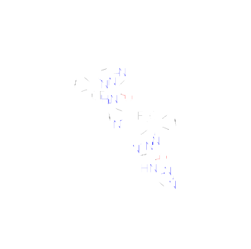 Cc1nc2c(C)cc(-c3ccccc3C(F)(F)F)nn2c1C(=O)Nc1ccnc(CCc2cc(-c3ccccc3C(F)(F)F)nn3c(C(=O)Nc4ccncn4)c(C)nc23)c1